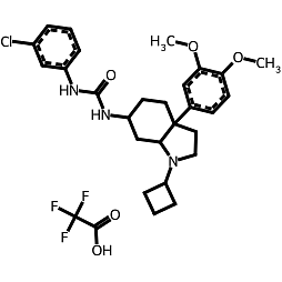 COc1ccc(C23CCC(NC(=O)Nc4cccc(Cl)c4)CC2N(C2CCC2)CC3)cc1OC.O=C(O)C(F)(F)F